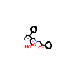 CCC(c1ccccc1)C(CNCC(O)c1ccccc1)CC(=O)O